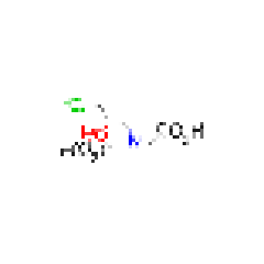 O=C(O)CN(CC(=O)O)CC(O)CCl